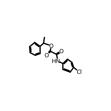 CC(OC(=O)C(=O)Nc1ccc(Cl)cc1)c1ccccc1